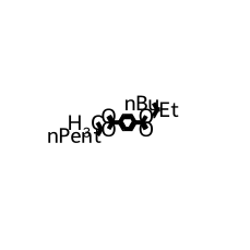 CCCCCC(C)OC(=O)c1ccc(C(=O)OCC(CC)CCCC)cc1